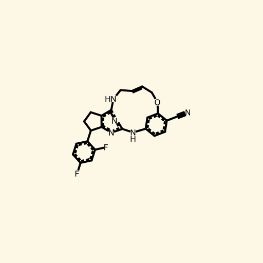 N#Cc1ccc2cc1OC/C=C/CNc1nc(nc3c1CCC3c1ccc(F)cc1F)N2